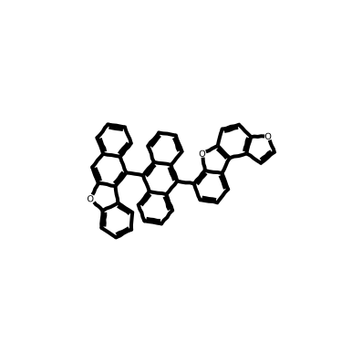 c1ccc2c(-c3c4ccccc4c(-c4cccc5c4oc4ccc6occc6c45)c4ccccc34)c3c(cc2c1)oc1ccccc13